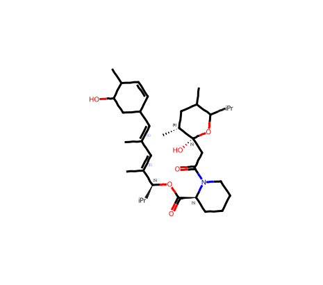 CC(=C\C1C=CC(C)C(O)C1)/C=C(\C)[C@@H](OC(=O)[C@@H]1CCCCN1C(=O)C[C@]1(O)OC(C(C)C)C(C)C[C@H]1C)C(C)C